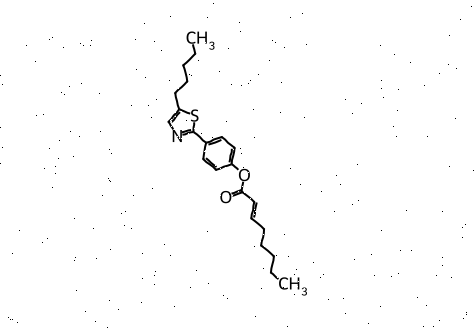 CCCCCC=CC(=O)Oc1ccc(-c2ncc(CCCCC)s2)cc1